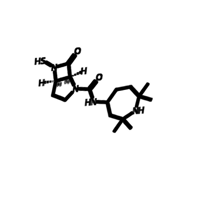 CC1(C)CCC(NC(=O)N2CC[C@@H]3[C@H]2C(=O)N3S)CC(C)(C)N1